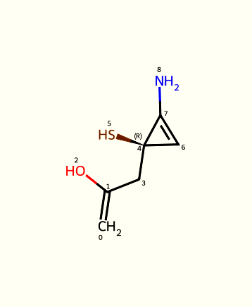 C=C(O)C[C@@]1(S)C=C1N